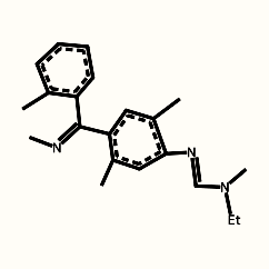 CCN(C)C=Nc1cc(C)c(C(=NC)c2ccccc2C)cc1C